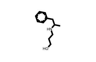 CC(Cc1ccccc1)NCCCO